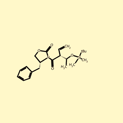 C=C[C@@H](C(=O)N1C(=O)OC[C@H]1Cc1ccccc1)C(C)O[Si](C)(C)C(C)(C)C